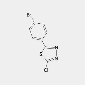 Clc1nnc(-c2ccc(Br)cc2)s1